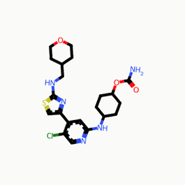 NC(=O)OC1CCC(Nc2cc(-c3csc(NCC4CCOCC4)n3)c(Cl)cn2)CC1